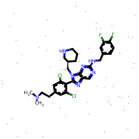 CN(C)CCc1cc(Cl)c(-c2nc3cnc(NCc4ccc(F)c(F)c4)nc3n2C[C@@H]2CCCNC2)c(Cl)c1